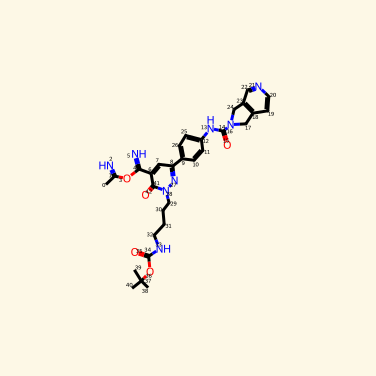 CC(=N)OC(=N)c1cc(-c2ccc(NC(=O)N3Cc4ccncc4C3)cc2)nn(CCCCNC(=O)OC(C)(C)C)c1=O